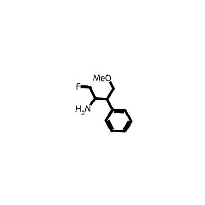 COCC(c1ccccc1)C(N)CF